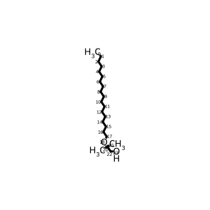 CCCCCCCCCCCCCCCCCCOC(C)(C)CO